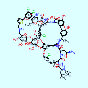 CN[C@H](CC(C)C)C(=O)NC1C(=O)NC(CC(N)=O)C(=O)N[C@H]2C(=O)NC(C)c3ccc(O)c(c3)-c3c(O)cc(O)cc3C(C(=O)O)NC(=O)[C@@H](NC=O)[C@H](OC3C[C@](C)(N)[C@@H](O)[C@H](C)O3)c3ccc(c(Cl)c3)Oc3cc2cc(c3O[C@@H]2O[C@H](CO)[C@@H](O[C@@H]3O[C@H](CNCc4ccc(-c5ccc(Cl)c(Cl)c5)s4)[C@H](O)[C@H](O)[C@H]3O)[C@H](O)[C@H]2O)Oc2ccc(cc2Cl)[C@H]1O